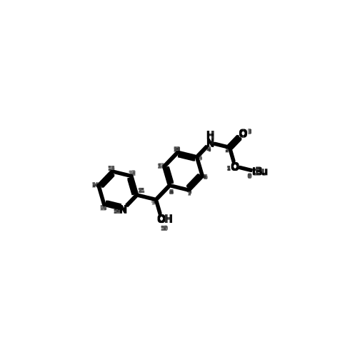 CC(C)(C)OC(=O)Nc1ccc(C(O)c2ccccn2)cc1